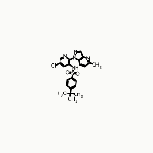 Cc1ccc2c(cnn2-c2ncc(Cl)cc2NS(=O)(=O)c2ccc(C(C)(C)C)cc2)n1